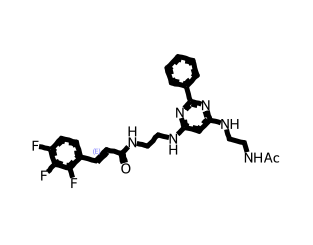 CC(=O)NCCNc1cc(NCCNC(=O)/C=C/c2ccc(F)c(F)c2F)nc(-c2ccccc2)n1